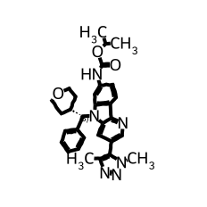 Cc1nnn(C)c1-c1cnc2c3ccc(NC(=O)OC(C)C)cc3n([C@H](c3ccccc3)C3CCOCC3)c2c1